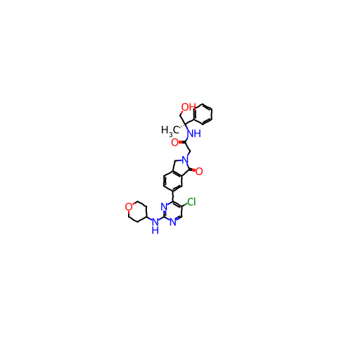 C[C@@](CO)(NC(=O)CN1Cc2ccc(-c3nc(NC4CCOCC4)ncc3Cl)cc2C1=O)c1ccccc1